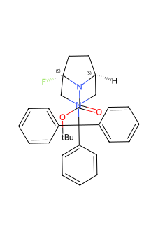 CC(C)(C)OC(=O)N1[C@H]2CC[C@]1(F)CN(C(c1ccccc1)(c1ccccc1)c1ccccc1)C2